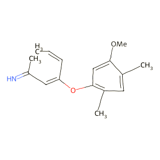 C/C=C\C(=C/C(C)=N)Oc1cc(OC)c(C)cc1C